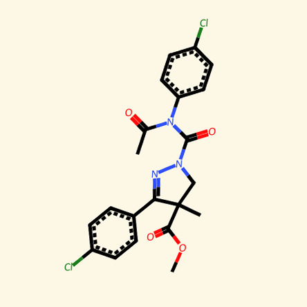 COC(=O)C1(C)CN(C(=O)N(C(C)=O)c2ccc(Cl)cc2)N=C1c1ccc(Cl)cc1